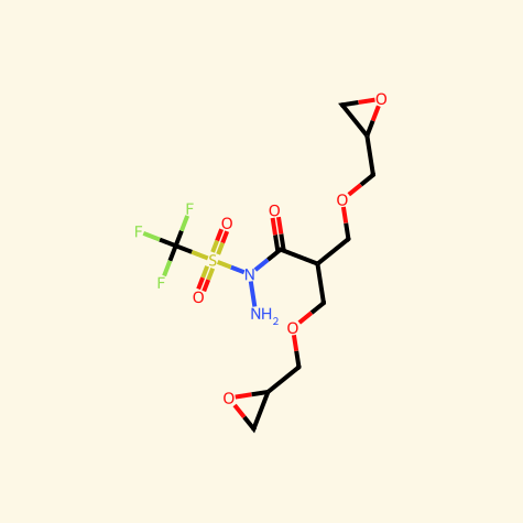 NN(C(=O)C(COCC1CO1)COCC1CO1)S(=O)(=O)C(F)(F)F